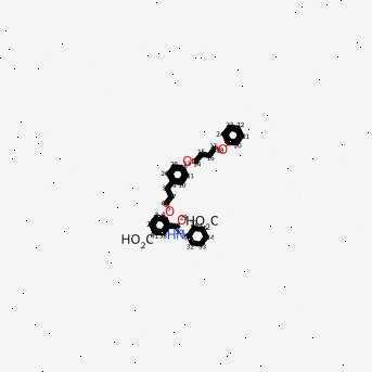 O=C(O)c1ccc(OCCCc2ccc(OCCCCOc3ccccc3)cc2)c(C(=O)N[C@@H]2CCCC[C@@H]2C(=O)O)c1